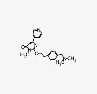 CN(C)Cc1ccc(CCOc2nc(-c3ccncc3)cc(=O)n2C)cc1